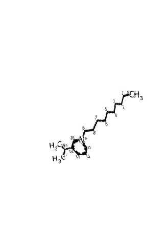 CCCCCCCCCC[n+]1cccc(C(C)C)c1